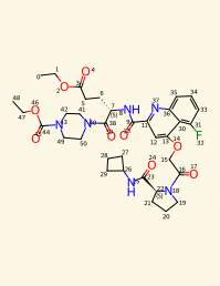 CCOC(=O)CC[C@H](NC(=O)c1cc(OCC(=O)N2CCC[C@H]2C(=O)NC2CCC2)c2c(F)cccc2n1)C(=O)N1CCN(C(=O)OCC)CC1